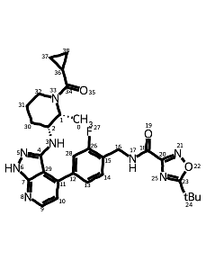 C[C@@H]1[C@H](Nc2n[nH]c3nccc(-c4ccc(CNC(=O)c5noc(C(C)(C)C)n5)c(F)c4)c23)CCCN1C(=O)C1CC1